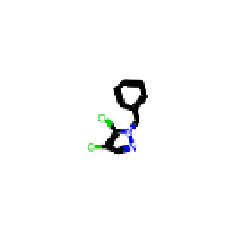 Clc1cnn(Cc2ccccc2)c1Cl